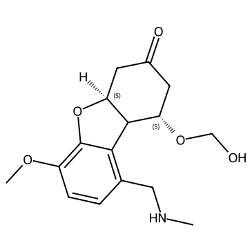 CNCc1ccc(OC)c2c1C1[C@@H](OCO)CC(=O)C[C@@H]1O2